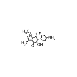 CCn1nc(C)c2c(=O)c(O)c(-c3ccc(N)cc3F)[nH]c21